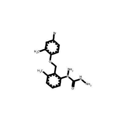 Cc1cc(Br)ccc1OCc1c(C)cccc1N(N)C(=O)NN